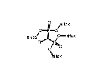 CCCCCCOP(=O)(OCCCCCC)C(Cl)P(=O)(OCCCCCC)OCCCCCC